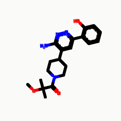 COC(C)(C)C(=O)N1CCC(c2cc(-c3ccccc3O)nnc2N)CC1